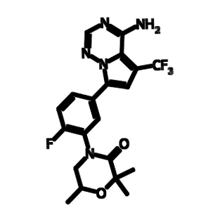 CC1CN(c2cc(-c3cc(C(F)(F)F)c4c(N)ncnn34)ccc2F)C(=O)C(C)(C)O1